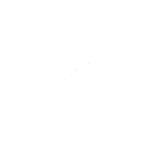 Nc1cc2cccc(O)c2n1-c1ccccc1